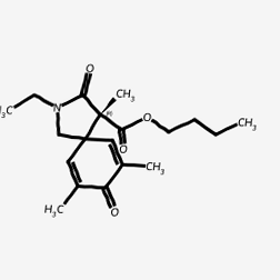 CCCCOC(=O)[C@@]1(C)C(=O)N(CC)CC12C=C(C)C(=O)C(C)=C2